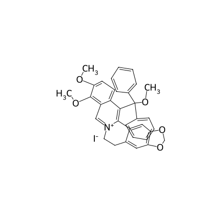 COc1ccc2c(C(OC)(c3ccccc3)c3ccccc3)c3[n+](cc2c1OC)CCc1cc2c(cc1-3)OCO2.[I-]